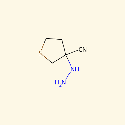 N#CC1(NN)CCSC1